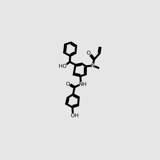 C=CC(=O)N(C)c1cc(NC(=O)c2ccc(O)cc2)cc(C(O)c2ccccc2)c1